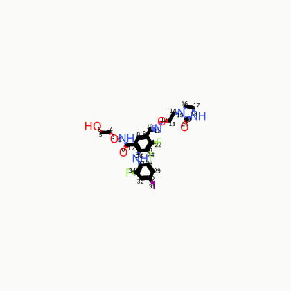 O=C(NOCCO)c1cc(/C=N/OCCN2CCNC2=O)c(F)c(F)c1Nc1ccc(I)cc1F